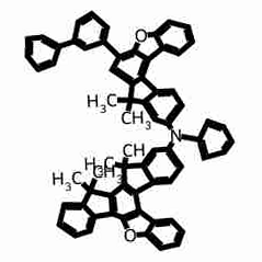 CC1(C)c2cc(N(c3ccccc3)c3ccc4c(c3)C(C)(C)c3c5c(c6oc7ccccc7c6c3-4)-c3ccccc3C5(C)C)ccc2-c2c1cc(-c1cccc(-c3ccccc3)c1)c1oc3ccccc3c21